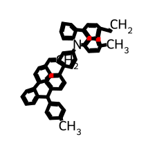 C=Cc1ccc(-c2ccccc2C(c2ccc(C)cc2)c2ccc(-c3ccc(N(c4ccc(C)cc4)c4ccccc4-c4ccc(C=C)cc4)cc3)cc2)cc1